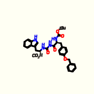 CC(C)(C)OC(=O)N[C@@H](Cc1ccc(OCc2ccccc2)cc1)C(=O)NC(=O)N[C@@H](Cc1c[nH]c2ccccc12)C(=O)O